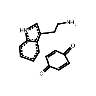 NCCc1c[nH]c2ccccc12.O=C1C=CC(=O)C=C1